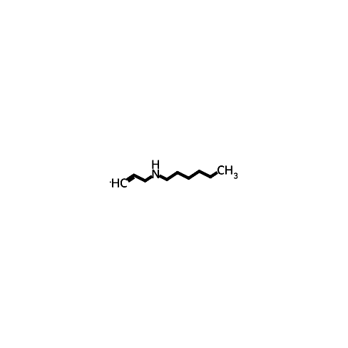 [CH]=CCNCCCCCC